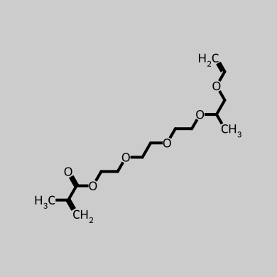 C=COCC(C)OCCOCCOCCOC(=O)C(=C)C